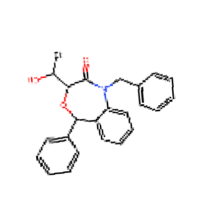 CCC(O)C1OC(c2ccccc2)c2ccccc2N(Cc2ccccc2)C1=O